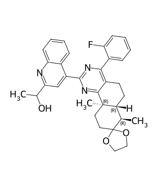 CC(O)c1cc(-c2nc(-c3ccccc3F)c3c(n2)[C@]2(C)CCC4(OCCO4)[C@H](C)[C@H]2CC3)c2ccccc2n1